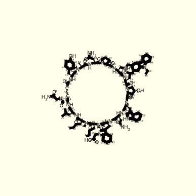 CCCC[C@H]1C(=O)N(C)[C@@H](CCCC)C(=O)N[C@@H](CC(C)C)C(=O)N[C@H](C(=O)NCC(N)=O)CSCC(=O)N[C@@H](Cc2ccc(O)cc2)C(=O)N(C)[C@@H](C)C(=O)N[C@@H](CC(N)=O)C(=O)N2CCC[C@H]2C(=O)N[C@@H](CNCc2ccc3c(c2)c2ccccc2n3CC)C(=O)N[C@@H](CC(C)C)C(=O)N2C[C@H](O)C[C@H]2C(=O)N[C@@H](Cc2c[nH]c3ccccc23)C(=O)N[C@@H](CCN)C(=O)N[C@@H](Cc2cn(CC(=O)O)c3ccccc23)C(=O)N1C